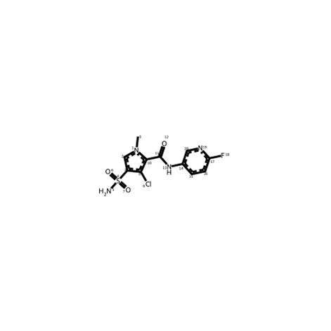 Cn1cc(S(N)(=O)=O)c(Cl)c1C(=O)Nc1ccc(F)nc1